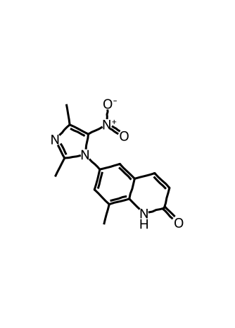 Cc1nc(C)n(-c2cc(C)c3[nH]c(=O)ccc3c2)c1[N+](=O)[O-]